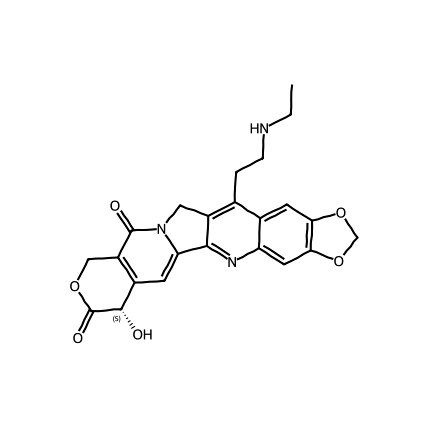 CCNCCc1c2c(nc3cc4c(cc13)OCO4)-c1cc3c(c(=O)n1C2)COC(=O)[C@H]3O